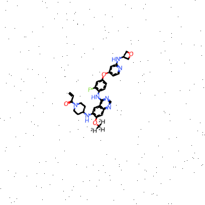 [2H]C([2H])([2H])Oc1cc2ncnc(Nc3ccc(Oc4ccnc(NC5COC5)c4)cc3F)c2cc1NC1CCN(C(=O)C=C)CC1